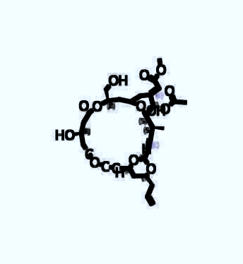 C=CC[C@H]1C[C@H]2CCOCC[C@@H](O)CC(=O)O[C@@H](CO)CC3C/C(=C\C(=O)OC)[C@H](OC(C)=O)[C@@](O)(O3)[C@@H](C)/C=C/[C@H](O2)O1